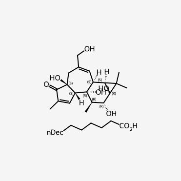 CC1=C[C@H]2[C@]3(O)[C@H](C)[C@@H](O)[C@@]4(O)[C@@H]([C@@H]3C=C(CO)C[C@@]2(O)C1=O)C4(C)C.CCCCCCCCCCCCCCCC(=O)O